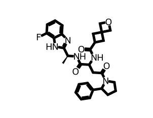 C[C@H](NC(=O)C(CC(=O)N1CCCC1c1ccccc1)NC(=O)C1CC2(COC2)C1)c1nc2cccc(F)c2[nH]1